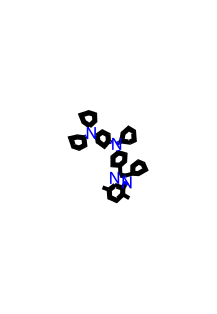 Cc1ccc(C)c2nc(-c3ccc(N(c4ccccc4)c4ccc(N(c5ccccc5)c5ccccc5)cc4)cc3)c(-c3ccccc3)nc12